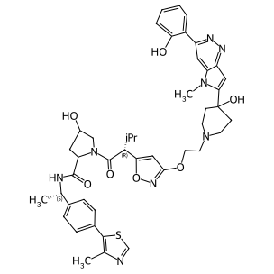 Cc1ncsc1-c1ccc([C@H](C)NC(=O)C2CC(O)CN2C(=O)[C@@H](c2cc(OCCN3CCC(O)(c4cc5nnc(-c6ccccc6O)cc5n4C)CC3)no2)C(C)C)cc1